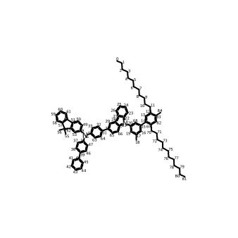 CCCCCCCCCCCCc1cc(-c2cc(C)cc(-n3c4ccccc4c4cc(-c5ccc(N(c6ccc(-c7ccccc7)cc6)c6ccc7c(c6)C(C)(C)c6ccccc6-7)cc5)ccc43)c2)c(CCCCCCCCCCCC)cc1C